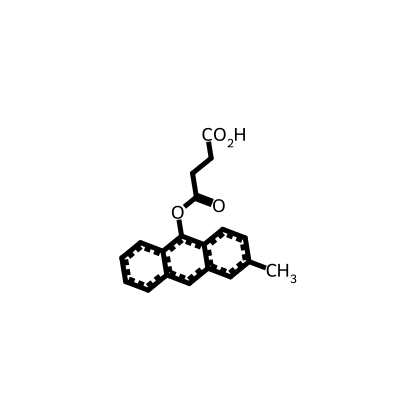 Cc1ccc2c(OC(=O)CCC(=O)O)c3ccccc3cc2c1